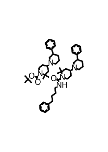 CC(C)(C)OC(=O)N1CCC(N2CCCC(c3ccccc3)C2)CC1(C)C.CC1(C)CC(N2CCCC(c3ccccc3)C2)CCN1C(=O)NCCCCc1ccccc1